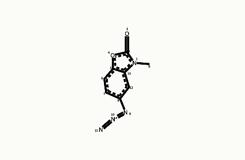 Cn1c(=O)oc2ccc(N=[N+]=[N-])cc21